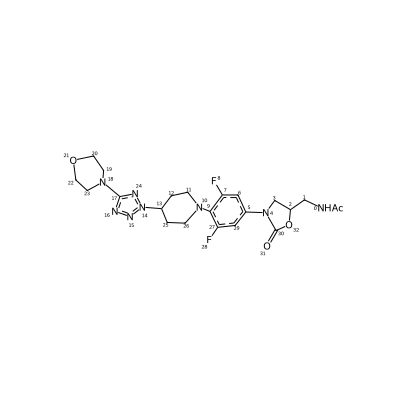 CC(=O)NCC1CN(c2cc(F)c(N3CCC(n4nnc(N5CCOCC5)n4)CC3)c(F)c2)C(=O)O1